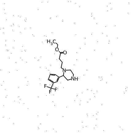 CCOC(=O)CCCN1CCNCC1c1cccc(C(F)(F)F)c1